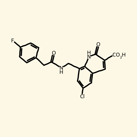 O=C(Cc1ccc(F)cc1)NCc1cc(Cl)cc2cc(C(=O)O)c(=O)[nH]c12